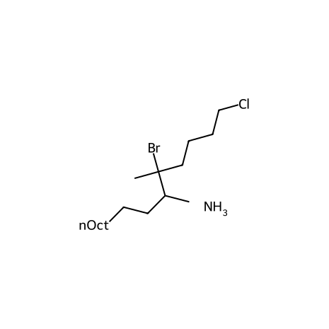 CCCCCCCCCCC(C)C(C)(Br)CCCCCl.N